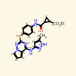 CCOC(=O)C1CC1C(=O)Nc1ccc(Sc2nc(Nc3cc(C)[nH]n3)c3cccn3n2)cc1